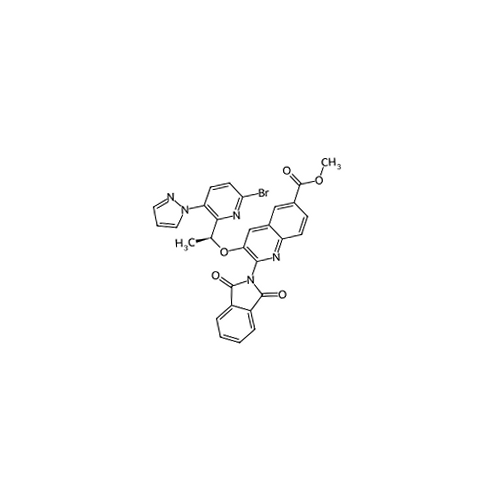 COC(=O)c1ccc2nc(N3C(=O)c4ccccc4C3=O)c(O[C@@H](C)c3nc(Br)ccc3-n3cccn3)cc2c1